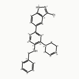 CCc1n[nH]c2ccc(-c3nnc(NCc4ccccc4)c(N4CC=NCC4)n3)cc12